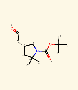 CC(C)(C)OC(=O)N1C[C@@H](CC=O)CC1(C)C